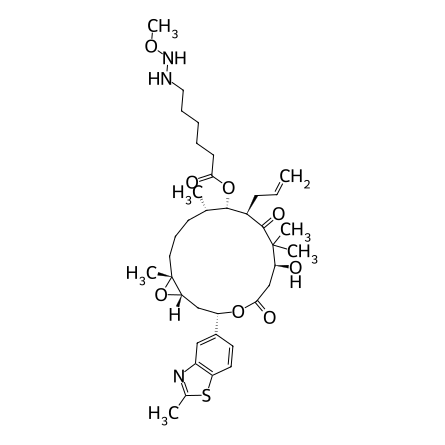 C=CC[C@H]1C(=O)C(C)(C)[C@@H](O)CC(=O)O[C@H](c2ccc3sc(C)nc3c2)C[C@@H]2O[C@]2(C)CCC[C@H](C)[C@@H]1OC(=O)CCCCCNNOC